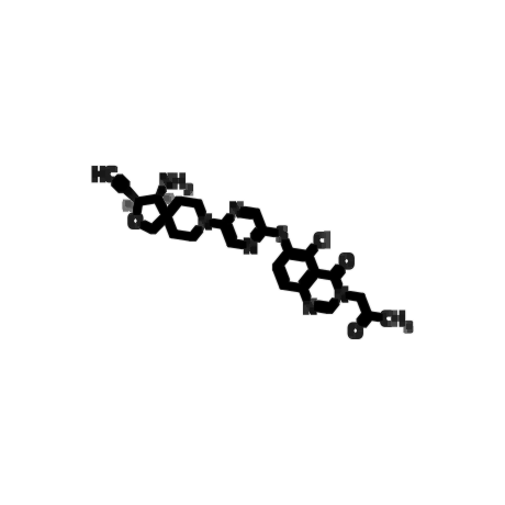 C#C[C@@H]1OCC2(CCN(c3cnc(Sc4ccc5ncn(CC(C)=O)c(=O)c5c4Cl)cn3)CC2)[C@@H]1N